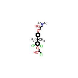 CC(=O)N(C[C@H](O)COc1ccc(C(C)(C)c2cc(Cl)c(OC[C@@H](O)CCl)c(Cl)c2)cc1)C(C)=O